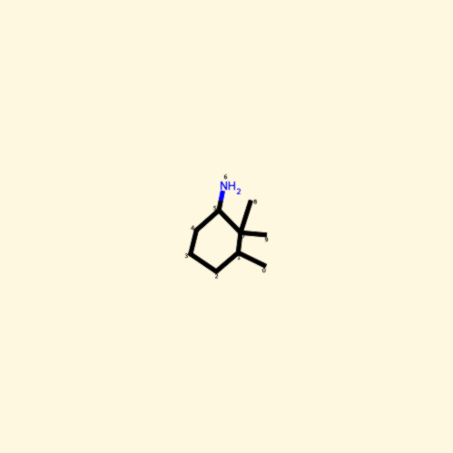 CC1CCCC(N)C1(C)C